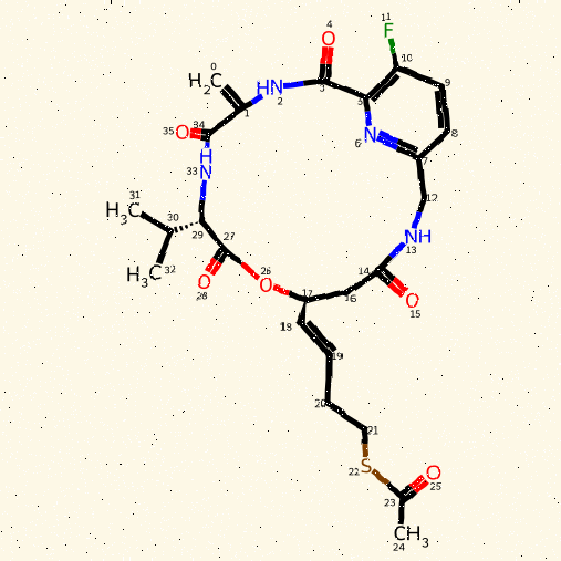 C=C1NC(=O)c2nc(ccc2F)CNC(=O)C[C@@H](/C=C/CCSC(C)=O)OC(=O)[C@H](C(C)C)NC1=O